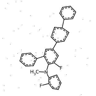 CN(c1ccccc1F)c1c(F)cc(-c2ccc(-c3ccccc3)cc2)cc1-c1ccccc1